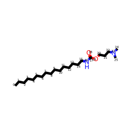 CCCCCCCCCCCCCCCCNC(=O)OCCCN(C)C